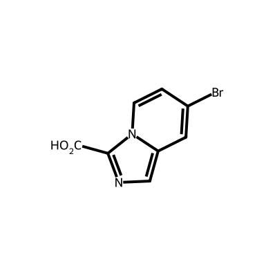 O=C(O)c1ncc2cc(Br)ccn12